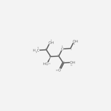 CC(O)[C@H](O)C(OCO)C(=O)O